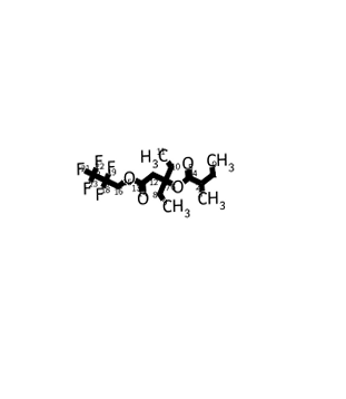 CCC(C)C(=O)OC(CC)(CC)CC(=O)OCC(F)(F)C(F)(F)F